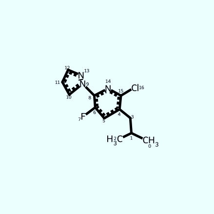 CC(C)Cc1cc(F)c(-n2cccn2)nc1Cl